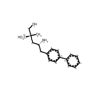 C[C@@](CO)(C[C@H](N)Cc1ccc(-c2ccccc2)cc1)C(=O)O